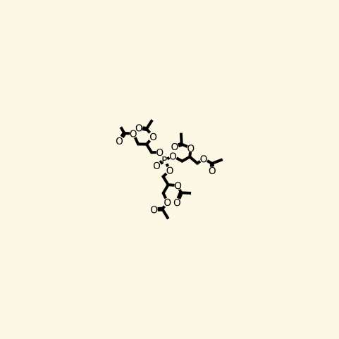 CC(=O)OCC(COP(=O)(OCC(COC(C)=O)OC(C)=O)OCC(COC(C)=O)OC(C)=O)OC(C)=O